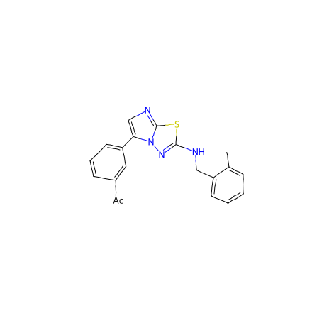 CC(=O)c1cccc(-c2cnc3sc(NCc4ccccc4C)nn23)c1